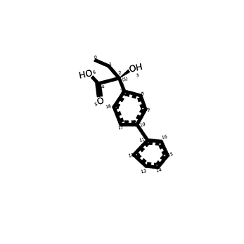 CC[C@@](O)(C(=O)O)c1ccc(-c2ccccc2)cc1